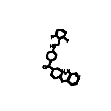 Nc1cnccc1CN1CCC(C(=O)N2CCC(NCc3c(F)cccc3F)CC2)CC1